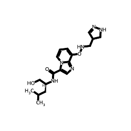 CC(C)C[C@@H](CO)NC(=O)c1cnc2c(ONCC3C=NNC3)cccn12